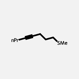 [CH2]CCC#CCCCSC